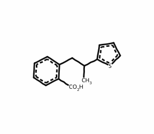 CC(Cc1ccccc1C(=O)O)c1cccs1